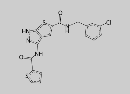 O=C(Nc1n[nH]c2sc(C(=O)NCc3cccc(Cl)c3)cc12)c1cccs1